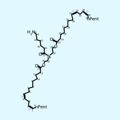 CCCCC/C=C\C/C=C\CCCCCCCC(=O)OCCN(CCOC(=O)CCCCCCC/C=C\C/C=C\CCCCC)C(=O)CCCCCN